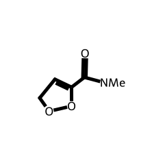 [CH2]NC(=O)C1=CCOO1